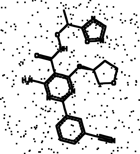 CC(ONC(=O)c1c(N)nc(-c2cccc(C#N)c2)nc1O[C@H]1CCOC1)c1ncno1